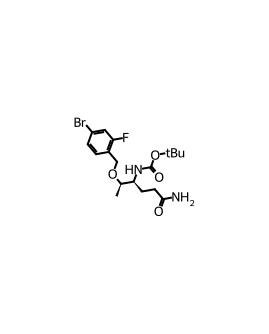 C[C@@H](OCc1ccc(Br)cc1F)[C@H](CCC(N)=O)NC(=O)OC(C)(C)C